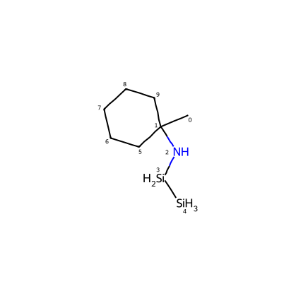 CC1(N[SiH2][SiH3])CCCCC1